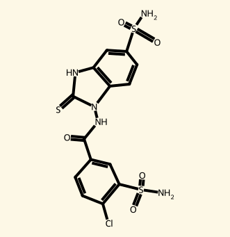 NS(=O)(=O)c1ccc2c(c1)[nH]c(=S)n2NC(=O)c1ccc(Cl)c(S(N)(=O)=O)c1